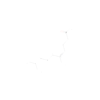 CC(=O)CC/C=C(/C)CCCC(C)C